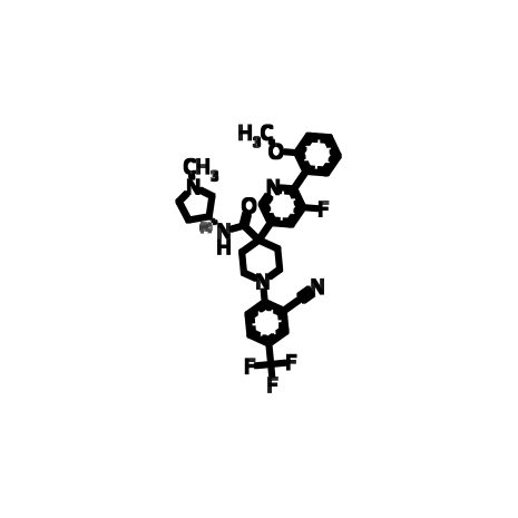 COc1ccccc1-c1ncc(C2(C(=O)N[C@@H]3CCN(C)C3)CCN(c3ccc(C(F)(F)F)cc3C#N)CC2)cc1F